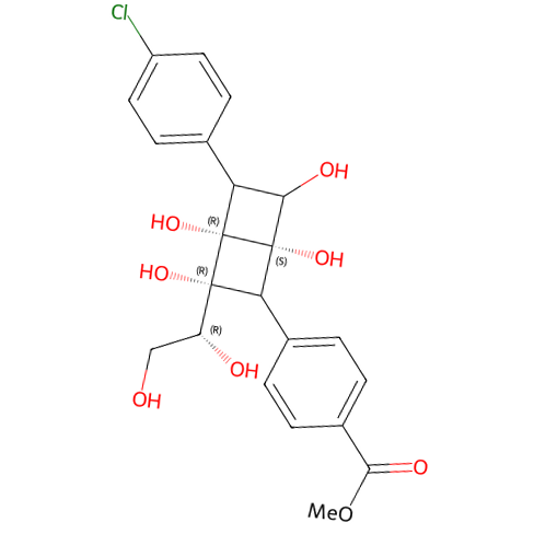 COC(=O)c1ccc(C2[C@]3(O)C(O)C(c4ccc(Cl)cc4)[C@]3(O)[C@]2(O)[C@H](O)CO)cc1